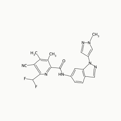 Cc1c(C(=O)Nc2ccc3cnn(-c4cnn(C)c4)c3c2)nc(C(F)F)c(C#N)c1C